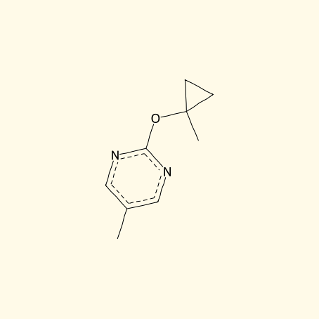 Cc1cnc(OC2(C)CC2)nc1